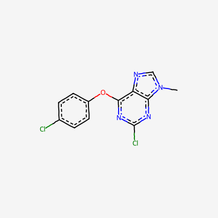 Cn1cnc2c(Oc3ccc(Cl)cc3)nc(Cl)nc21